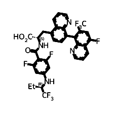 CC[C@@H](Nc1cc(F)c(C(=O)N[C@@H](Cc2ccc(-c3c(C(F)(F)F)cc(F)c4cccnc34)c3ncccc23)C(=O)O)c(F)c1)C(F)(F)F